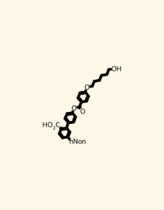 CCCCCCCCCc1ccc(C(=O)O)c(-c2ccc(OC(=O)c3ccc(OCCCCCCO)cc3)cc2)c1